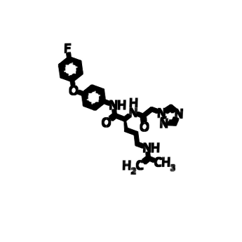 C=C(C)NCCC[C@H](NC(=O)Cn1cncn1)C(=O)Nc1ccc(Oc2ccc(F)cc2)cc1